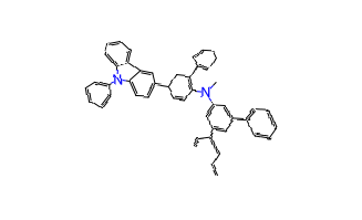 C=C/C=C(\C=C)c1cc(-c2ccccc2)cc(N(C)C2=C(C3=CCCC=C3)CC(c3ccc4c(c3)c3ccccc3n4-c3ccccc3)C=C2)c1